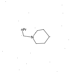 CCCCN1CC[CH]CC1